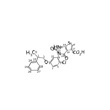 CC(COc1ccc(Cl)c(-n2c(=O)[nH]c3scc(C(=O)O)c3c2=O)c1)c1ccccc1